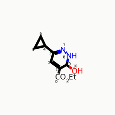 CCOC(=O)C1=CC(C2CC2)=NNC1O